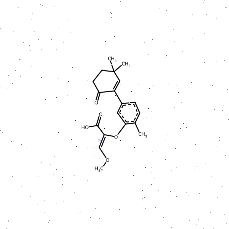 CO/C=C(\Oc1cc(C2=CC(C)(C)CCC2=O)ccc1C)C(=O)O